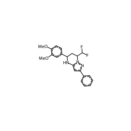 COc1ccc(C2CC(C(F)F)n3nc(-c4ccccc4)cc3N2)cc1OC